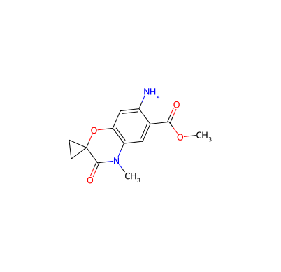 COC(=O)c1cc2c(cc1N)OC1(CC1)C(=O)N2C